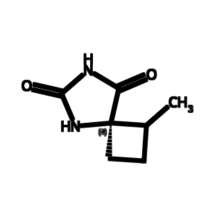 CC1CC[C@@]12NC(=O)NC2=O